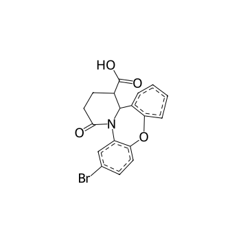 O=C(O)C1CCC(=O)N2c3cc(Br)ccc3Oc3ccccc3C12